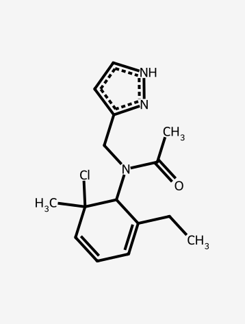 CCC1=CC=CC(C)(Cl)C1N(Cc1cc[nH]n1)C(C)=O